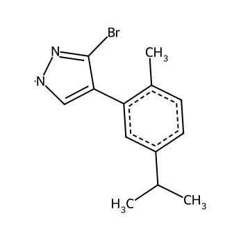 Cc1ccc(C(C)C)cc1C1=C[N]N=C1Br